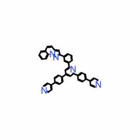 c1cc(-c2cc(-c3ccc(-c4ccncc4)cc3)cc(-c3ccc(-c4ccncc4)cc3)n2)cc(-c2cc3ccc4ccccc4n3n2)c1